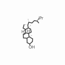 CC(C)[C@@H](C)CC[C@@H](C)[C@H]1CC[C@H]2C3=CCC4CC(O)CC[C@]4(C)[C@H]3CC[C@]12C